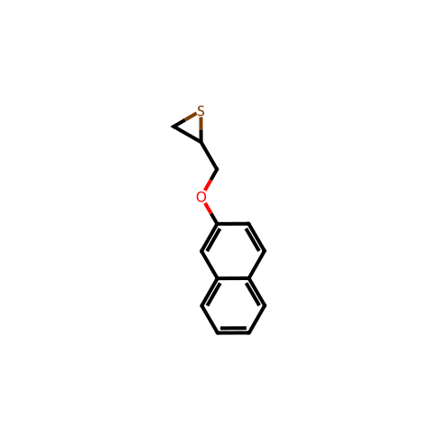 c1ccc2cc(OCC3CS3)ccc2c1